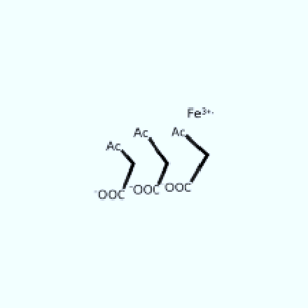 CC(=O)CC(=O)[O-].CC(=O)CC(=O)[O-].CC(=O)CC(=O)[O-].[Fe+3]